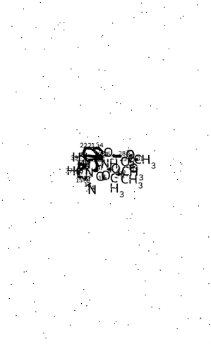 CC(C)(C)OC(=O)N[C@H](C(=O)N1[C@H](C#N)C[C@@H]2C[C@@H]21)C12CC3C[C@H](CC(OCCOS(C)(=O)=O)(C3)C1)C2